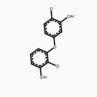 CC(=O)Oc1cc(Oc2cccc(OC(C)=O)c2Cl)ccc1Cl